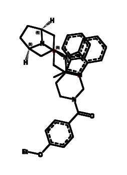 CCOc1ccc(C(=O)N2CCC(CCN3[C@@H]4CC[C@H]3C[C@@H](n3c(C)nc5ccccc53)C4)(c3ccccc3)CC2)cc1